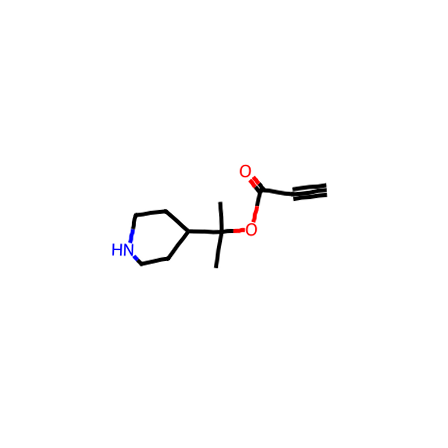 C#CC(=O)OC(C)(C)C1CCNCC1